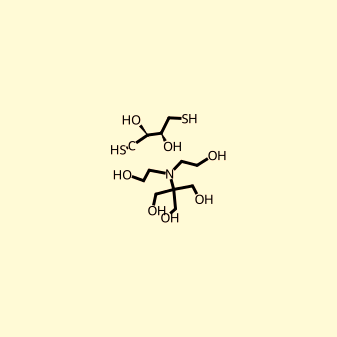 OCCN(CCO)C(CO)(CO)CO.O[C@H](CS)[C@H](O)CS